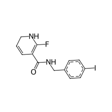 O=C(NCc1ccc(I)cc1)C1=C(F)NCC=C1